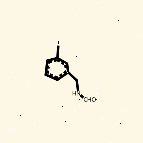 O=[C]NCc1cccc(I)c1